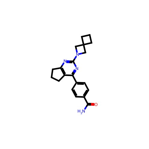 NC(=O)c1ccc(-c2nc(N3CC4(CCC4)C3)nc3c2CCC3)cc1